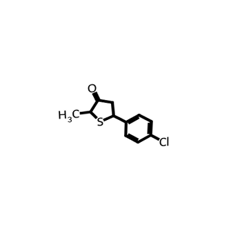 CC1SC(c2ccc(Cl)cc2)CC1=O